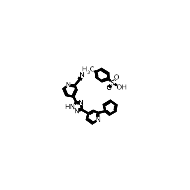 Cc1ccc(S(=O)(=O)O)cc1.N#Cc1cc(-c2nc(-c3ccnc(-c4ccccc4)c3)n[nH]2)ccn1